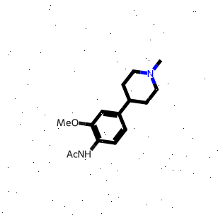 COc1cc(C2CCN(C)CC2)ccc1NC(C)=O